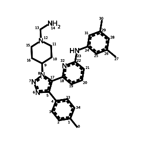 Cc1ccc(-c2nnn(C3CCN(CN)CC3)c2-c2cccc(Nc3cc(C)cc(C)c3)n2)cc1